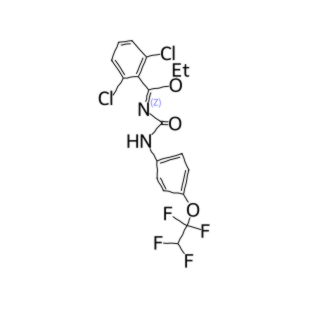 CCO/C(=N\C(=O)Nc1ccc(OC(F)(F)C(F)F)cc1)c1c(Cl)cccc1Cl